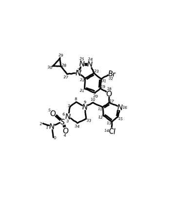 CN(C)S(=O)(=O)N1CCN(Cc2cc(Cl)cnc2Oc2ccc3c(nnn3CC3CC3)c2Br)CC1